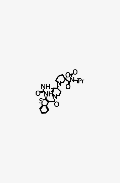 CC(C)N1C(=O)OC2(CCCN(C3CCN(C(=O)c4c(NC(N)=O)sc5ccccc45)CC3)C2)C1=O